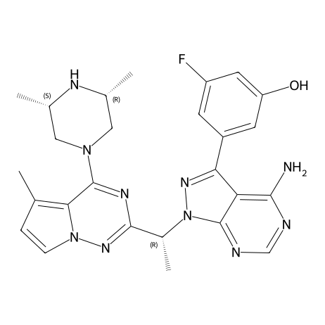 Cc1ccn2nc([C@@H](C)n3nc(-c4cc(O)cc(F)c4)c4c(N)ncnc43)nc(N3C[C@@H](C)N[C@@H](C)C3)c12